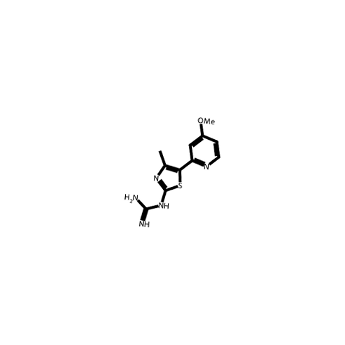 COc1ccnc(-c2sc(NC(=N)N)nc2C)c1